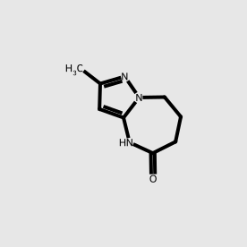 Cc1cc2n(n1)CCCC(=O)N2